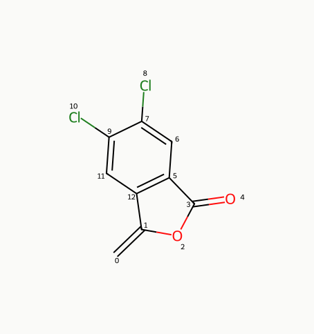 C=C1OC(=O)c2cc(Cl)c(Cl)cc21